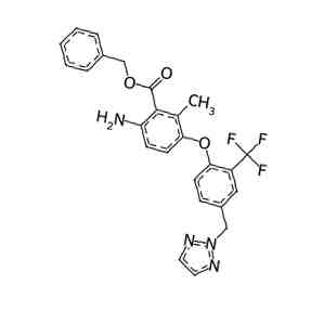 Cc1c(Oc2ccc(Cn3nccn3)cc2C(F)(F)F)ccc(N)c1C(=O)OCc1ccccc1